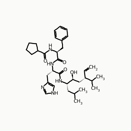 C=C[C@@H](C[C@H](O)[C@H](CC(C)C)NC(=O)[C@H](Cc1c[nH]cn1)NC(=O)[C@H](Cc1ccccc1)NC(=O)C1CCCC1)C(C)C